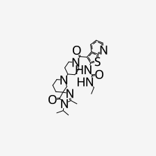 CCNC(=O)Nc1sc2ncccc2c1C(=O)N1CCC(N2CCCC3(C2)N=C(C)N(C(C)C)C3=O)CC1